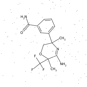 CC1(c2cccc(C(N)=O)c2)COC(C)(C(F)(F)F)C(N)=N1